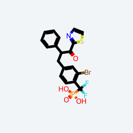 O=C(c1nccs1)C(Cc1ccc(C(F)(F)P(=O)(O)O)c(Br)c1)c1ccccc1